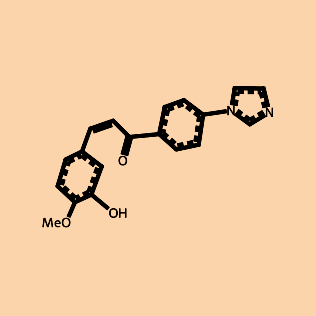 COc1ccc(/C=C\C(=O)c2ccc(-n3ccnc3)cc2)cc1O